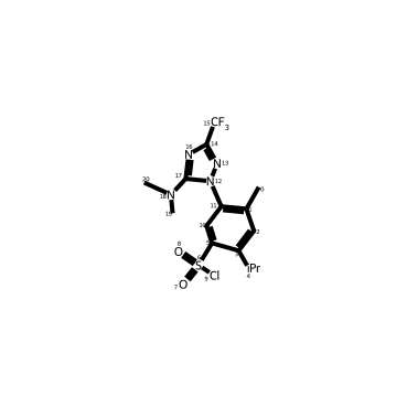 Cc1cc(C(C)C)c(S(=O)(=O)Cl)cc1-n1nc(C(F)(F)F)nc1N(C)C